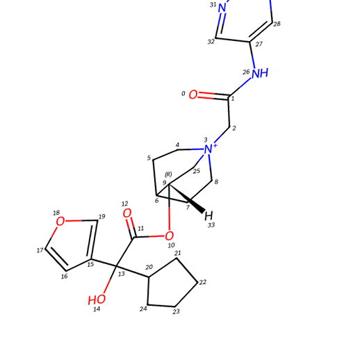 O=C(C[N+]12CCC(CC1)[C@@H](OC(=O)C(O)(c1ccoc1)C1CCCC1)C2)Nc1cncnc1